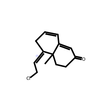 CC12CCC(=O)C=C1C=CC/C2=C/CCl